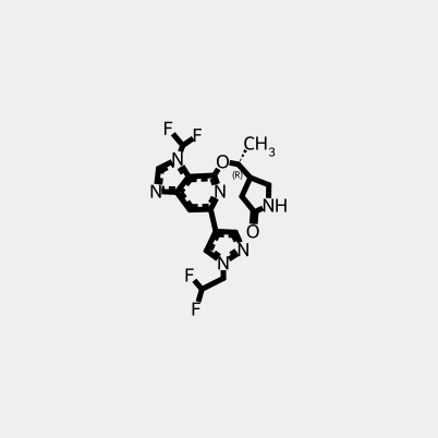 C[C@@H](Oc1nc(-c2cnn(CC(F)F)c2)cc2ncn(C(F)F)c12)C1CNC(=O)C1